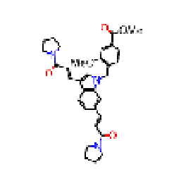 COC(=O)c1ccc(Cn2cc(C=CC(=O)N3CCCC3)c3ccc(C=CC(=O)N4CCCC4)cc32)c(OC)c1